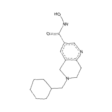 O=C(NO)c1cnc2c(c1)CN(CC1CCCCC1)CC2